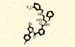 CC(=O)C1CC(c2ccc(F)cc2)N(C(=O)c2cccc(C(=O)N[C@@H](Cc3ccccc3)[C@H](O)CNCc3cccc(C(F)(F)F)c3)c2)C1